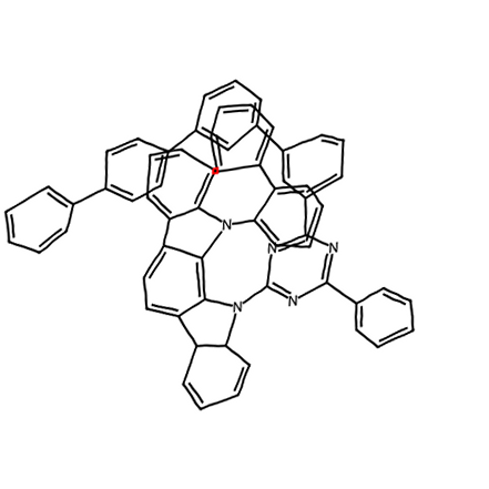 C1=CC2c3ccc4c5ccccc5n(-c5ccccc5-c5ccccc5)c4c3N(c3nc(-c4ccccc4)nc(-c4cccc(-c5cccc(-c6ccc(-c7ccccc7)cc6)c5)c4)n3)C2C=C1